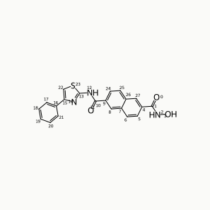 O=C(NO)c1ccc2cc(C(=O)Nc3nc(-c4ccccc4)cs3)ccc2c1